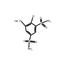 NS(=O)(=O)c1cc(Cl)c(Cl)c(S(N)(=O)=O)c1.[KH]